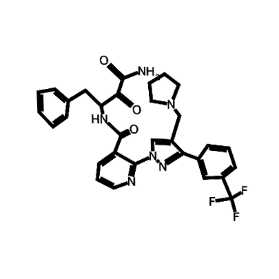 NC(=O)C(=O)C(Cc1ccccc1)NC(=O)c1cccnc1-n1cc(CN2CCCC2)c(-c2cccc(C(F)(F)F)c2)n1